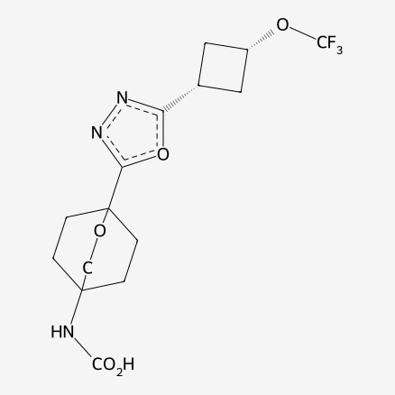 O=C(O)NC12CCC(c3nnc([C@H]4C[C@@H](OC(F)(F)F)C4)o3)(CC1)OC2